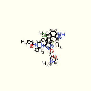 C=CC(=O)N1C[C@H](C)N(c2nc(OC[C@@H]3CN(C)CCO3)nc3c(F)c(-c4c(C)ccc5[nH]nc(C)c45)c(Cl)cc23)C[C@H]1C